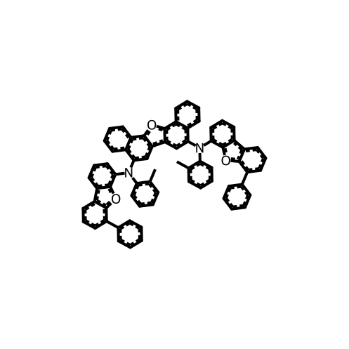 Cc1ccccc1N(c1cc2c3cc(N(c4ccccc4C)c4cccc5c4oc4c(-c6ccccc6)cccc45)c4ccccc4c3oc2c2ccccc12)c1cccc2c1oc1c(-c3ccccc3)cccc12